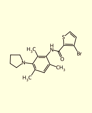 Cc1cc(C)c(N2CCCC2)c(C)c1NC(=O)c1sccc1Br